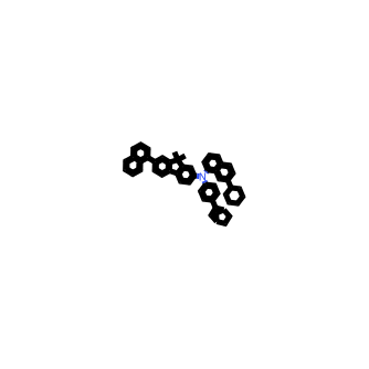 CC1(C)c2cc(-c3cccc4ccccc34)ccc2-c2ccc(N(c3ccc(C4CC5CCC4C5)cc3)c3cccc4ccc(C5CCCCC5)cc34)cc21